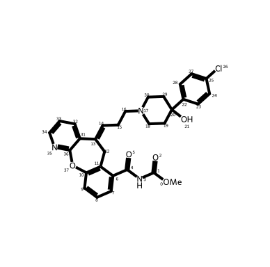 COC(=O)NC(=O)c1cccc2c1CC(=CCCN1CCC(O)(c3ccc(Cl)cc3)CC1)c1cccnc1O2